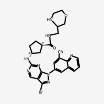 N#Cc1cc(-n2nc(Br)c3cnc(N[C@@H]4CC[C@@H](C(=O)NCC5COCCN5)C4)nc32)cc2cccnc12